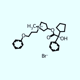 C[N+]1(CCCOc2ccccc2)CCC(OC(=O)[C@](O)(c2ccccc2)C2CCCC2)C1.[Br-]